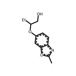 CCC(CO)Oc1ccc2nc(C)oc2c1